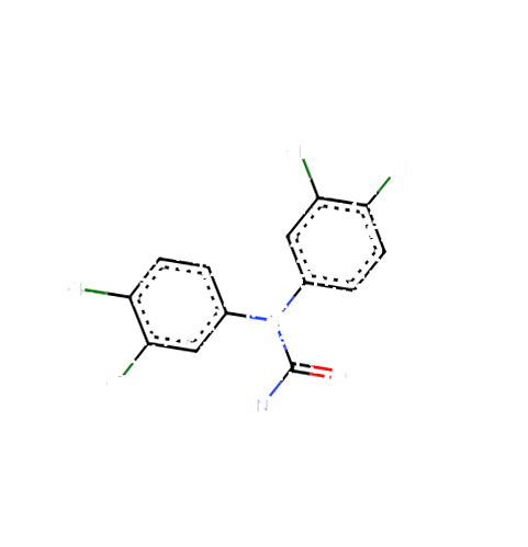 NC(=O)N(c1ccc(Cl)c(Cl)c1)c1ccc(Cl)c(Cl)c1